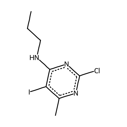 CCCNc1nc(Cl)nc(C)c1I